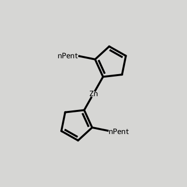 CCCCCC1=[C]([Zn][C]2=C(CCCCC)C=CC2)CC=C1